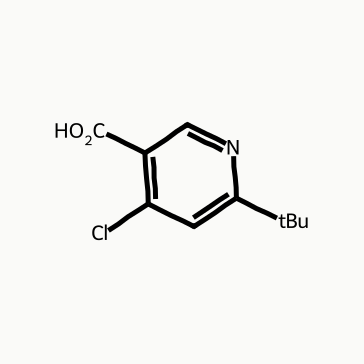 CC(C)(C)c1cc(Cl)c(C(=O)O)cn1